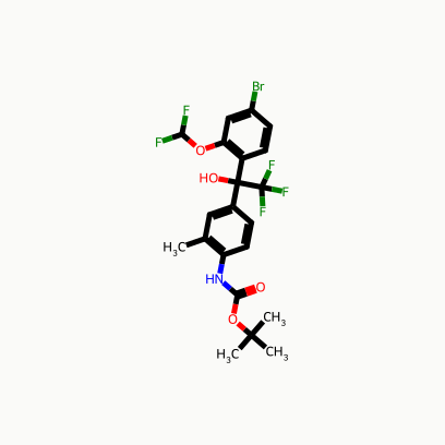 Cc1cc(C(O)(c2ccc(Br)cc2OC(F)F)C(F)(F)F)ccc1NC(=O)OC(C)(C)C